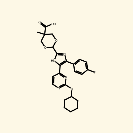 CC1(C(=O)O)COC(c2nc(-c3ccc(F)cc3)c(-c3ccnc(OC4CCCCC4)n3)[nH]2)OC1